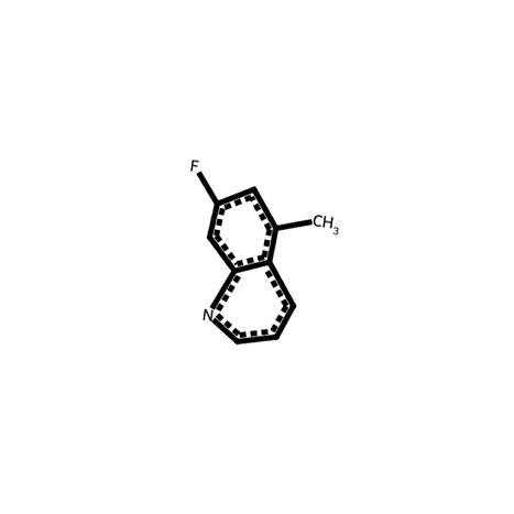 Cc1cc(F)cc2ncccc12